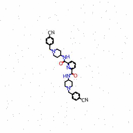 N#Cc1ccc(CN2CCC(NC(=O)c3cccc(C(=O)NC4CCN(Cc5ccc(C#N)cc5)CC4)n3)CC2)cc1